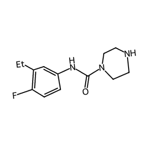 CCc1cc(NC(=O)N2CCNCC2)ccc1F